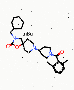 CCCC[C@H]1N(CC2CCCCC2)C(=O)OC12CCN(C1CCN(C(=O)c3c(C)cccc3C)CC1)CC2